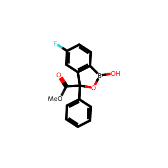 COC(=O)C1(c2ccccc2)OB(O)c2ccc(F)cc21